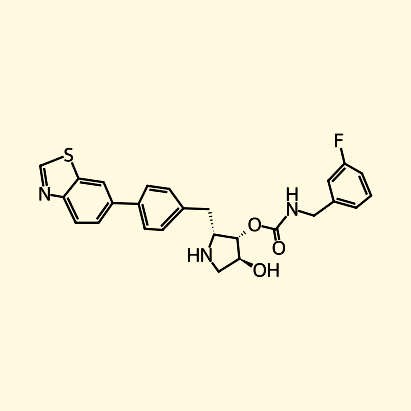 O=C(NCc1cccc(F)c1)O[C@@H]1[C@@H](O)CN[C@@H]1Cc1ccc(-c2ccc3ncsc3c2)cc1